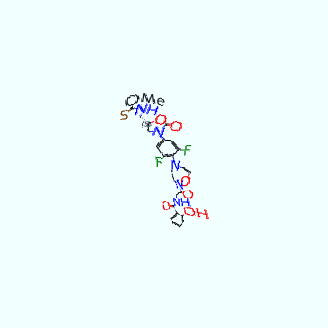 COC(=S)NC[C@H]1CN(c2cc(F)c(N3CCON(C(=O)CNC(=O)c4ccccc4O)CC3)c(F)c2)C(=O)O1